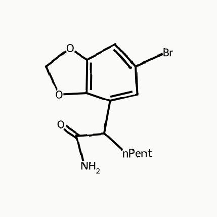 CCCCCC(C(N)=O)c1cc(Br)cc2c1OCO2